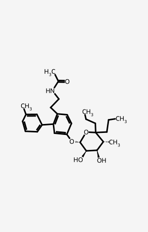 CCCC1(CCC)O[C@@H](Oc2ccc(CCNC(C)=O)c(-c3cccc(C)c3)c2)[C@H](O)[C@H](O)[C@H]1C